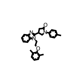 Cc1ccc(N2CC(c3nc4ccccc4n3CCOc3c(C)cccc3C)CC2=O)cc1